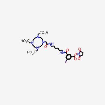 O=C(O)CN1CCN(CC(=O)O)CCN(CC(=O)NCCCCCCNC(=O)c2cc(I)cc(C(=O)ON3C(=O)CCC3=O)c2)CCN(CC(=O)O)CC1